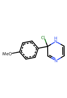 COc1ccc(C2(Cl)C=NC=CN2)cc1